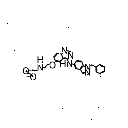 CS(=O)(=O)CCNCCOc1ccc2ncnc(Nc3ccc4c(cnn4Cc4ccccc4)c3)c2c1